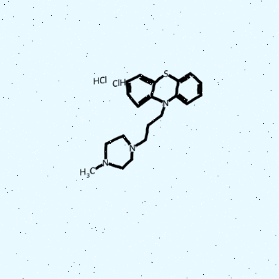 CN1CCN(CCCN2c3ccccc3Sc3ccccc32)CC1.Cl.Cl